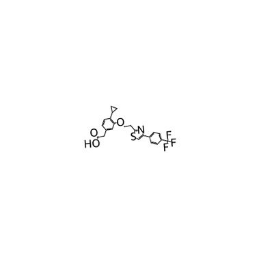 O=C(O)Cc1ccc(C2CC2)c(OCCc2nc(-c3ccc(C(F)(F)F)cc3)cs2)c1